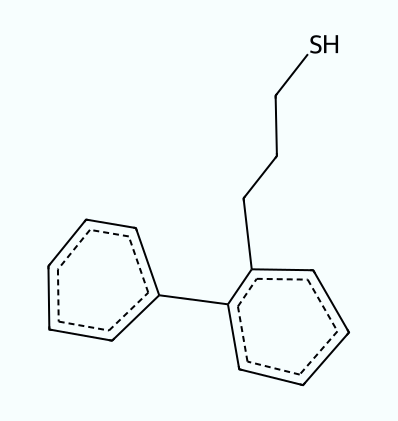 SCCCc1ccccc1-c1ccccc1